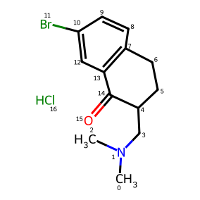 CN(C)CC1CCc2ccc(Br)cc2C1=O.Cl